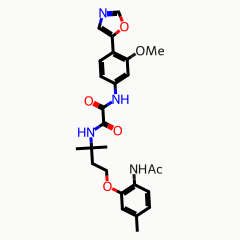 COc1cc(NC(=O)C(=O)NC(C)(C)CCOc2cc(C)ccc2NC(C)=O)ccc1-c1cnco1